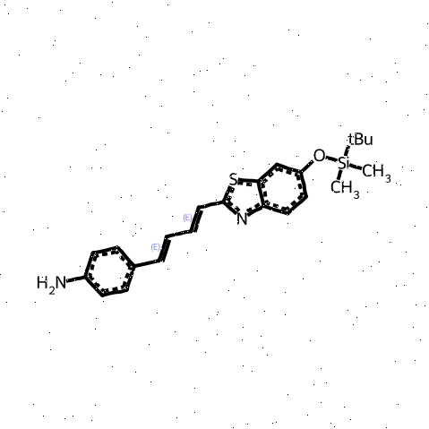 CC(C)(C)[Si](C)(C)Oc1ccc2nc(/C=C/C=C/c3ccc(N)cc3)sc2c1